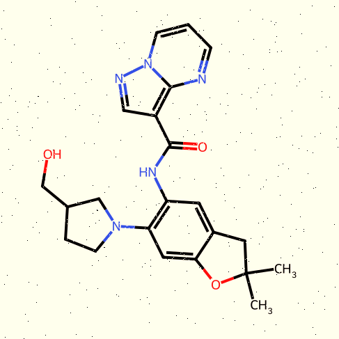 CC1(C)Cc2cc(NC(=O)c3cnn4cccnc34)c(N3CCC(CO)C3)cc2O1